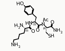 CC(=O)N(C(=O)[C@H](Cc1ccc(O)cc1)NC(=O)[C@@H](N)CCCCN)[C@@H](CS)C(N)=O